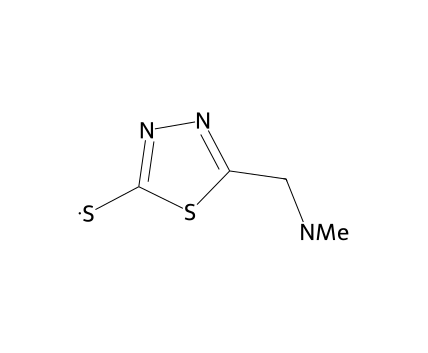 CNCc1nnc([S])s1